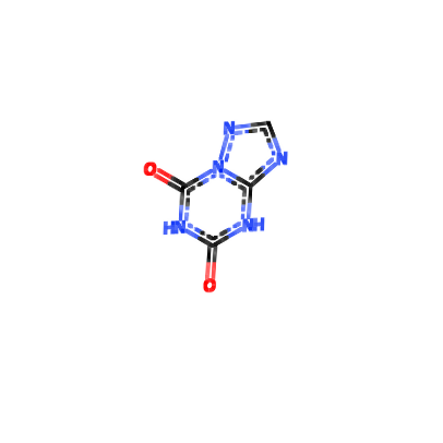 O=c1[nH]c(=O)n2ncnc2[nH]1